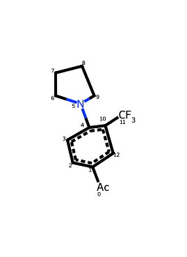 CC(=O)c1ccc(N2CCCC2)c(C(F)(F)F)c1